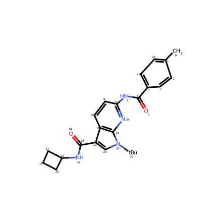 Cc1ccc(C(=O)Nc2ccc3c(C(=O)NC4CCC4)cn(C(C)(C)C)c3n2)cc1